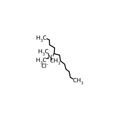 CCCCCCCC(CCCC)[N+](C)(C)C.[Cl-]